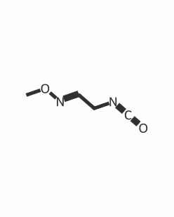 CON=CCN=C=O